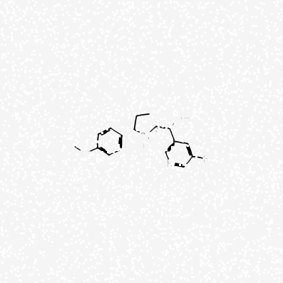 COc1ccc([C@@H]2CC[C@H]([C@@H](O)c3cncc(F)c3)N2)cc1